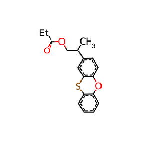 CCC(=O)OCC(C)c1ccc2c(c1)Sc1ccccc1O2